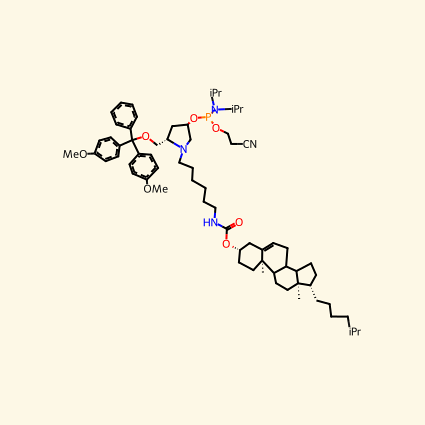 COc1ccc(C(OC[C@@H]2C[C@@H](OP(OCCC#N)N(C(C)C)C(C)C)CN2CCCCCCNC(=O)O[C@H]2CC[C@@]3(C)C(=CCC4C3CC[C@@]3(C)C4CC[C@@H]3CCCCC(C)C)C2)(c2ccccc2)c2ccc(OC)cc2)cc1